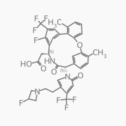 Cc1ccc2cc1Oc1cccc(C)c1-c1cc(c(F)c(C(F)(F)F)c1)[C@H](CC(=O)O)NC(=O)[C@H]2n1cc(CCN2CC(F)C2)c(C(F)(F)F)cc1=O